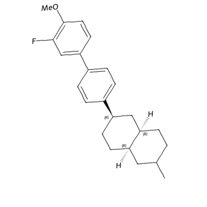 COc1ccc(-c2ccc([C@@H]3CC[C@@H]4CC(C)CC[C@@H]4C3)cc2)cc1F